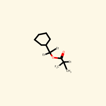 CCC(CC)(OC(=O)C(C)(CC)C(F)(F)F)C1CCCCC1